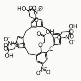 O=C(O)COc1c2cc([N+](=O)[O-])cc1Cc1cc([N+](=O)[O-])cc(c1OCC(=O)O)Cc1cc([N+](=O)[O-])cc(c1OCC(=O)O)Cc1cc([N+](=O)[O-])cc(c1OCC(=O)O)C2